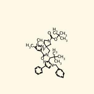 Cc1cc(C(=O)N(C[C@@]2(F)CCN(C(=O)OC(C)(C)C)C2)[C@@H](c2nc(-c3ccccc3)cn2Cc2ccccc2)C(C)(C)C)nn1C